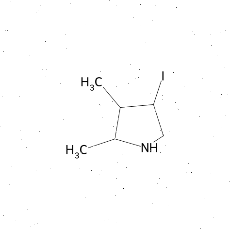 CC1NCC(I)C1C